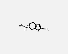 CCCN[C@H]1CCc2cc(N)sc2C1